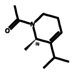 CC(=O)N1CCC=C(C(C)C)[C@@H]1C